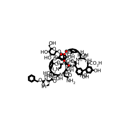 CC(C)C[C@H](NC(=O)OCc1ccccc1)C(=O)N[C@H]1C(=O)N[C@@H](CC(N)=O)C(=O)N[C@H]2C(=O)NC3C(=O)N[C@H](C(=O)N[C@H](C(=O)O)c4cc(O)cc(O)c4-c4cc3ccc4O)[C@H](O)c3ccc(c(Cl)c3)Oc3cc2cc(c3OC2O[C@H](CO)[C@@H](O)[C@H](O)[C@H]2O[C@H]2C[C@](C)(NC(=O)CN)[C@H](O)[C@H](C)O2)Oc2ccc(cc2Cl)[C@H]1O